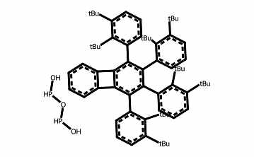 CC(C)(C)c1cccc(-c2c3c(c(-c4cccc(C(C)(C)C)c4C(C)(C)C)c(-c4cccc(C(C)(C)C)c4C(C)(C)C)c2-c2cccc(C(C)(C)C)c2C(C)(C)C)-c2ccccc2-3)c1C(C)(C)C.OPOPO